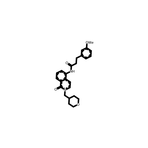 COc1cccc(CCC(=O)Nc2cccc3c(=O)n(CC4CCOCC4)ccc23)c1